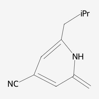 C=C1C=C(C#N)C=C(CC(C)C)N1